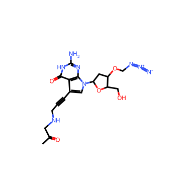 CC(=O)CNCC#Cc1cn(C2CC(OCN=[N+]=[N-])C(CO)O2)c2nc(N)[nH]c(=O)c12